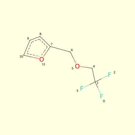 FC(F)(F)COCc1ccco1